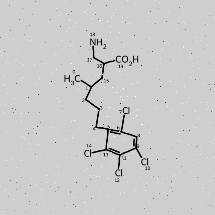 CC(CCCc1c(Cl)cc(Cl)c(Cl)c1Cl)CC(CN)C(=O)O